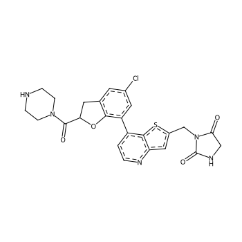 O=C(C1Cc2cc(Cl)cc(-c3ccnc4cc(CN5C(=O)CNC5=O)sc34)c2O1)N1CCNCC1